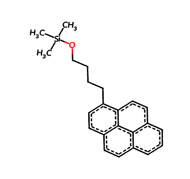 C[Si](C)(C)OCCCCc1ccc2ccc3cccc4ccc1c2c34